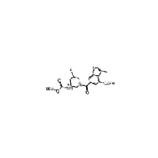 COc1cc(C(=O)N2C[C@H](F)C[C@@H](NC(=O)OC(C)(C)C)C2)cc2scc(C)c12